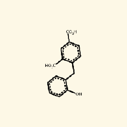 O=C(O)c1ccc(Cc2ccccc2O)c(C(=O)O)c1